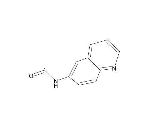 O=[C]Nc1ccc2ncccc2c1